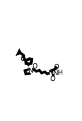 O=C1CN(CCCCCC(=O)N2CCC[C@@H]2c2cccc(OCC3CC3)c2)C(=O)N1